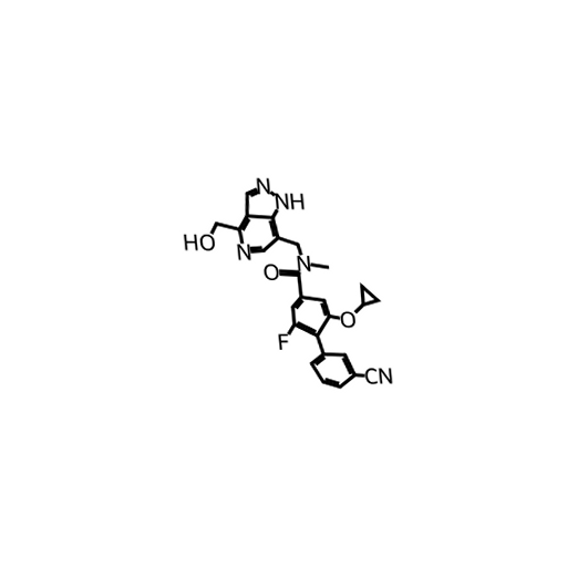 CN(Cc1cnc(CO)c2cn[nH]c12)C(=O)c1cc(F)c(-c2cccc(C#N)c2)c(OC2CC2)c1